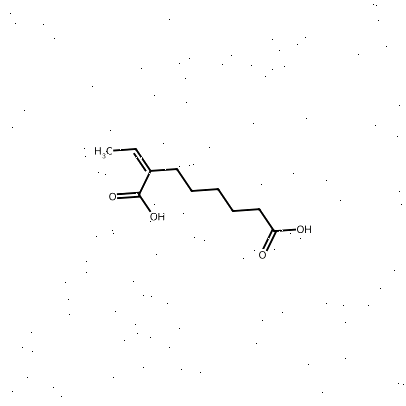 CC=C(CCCCCC(=O)O)C(=O)O